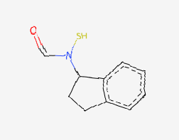 O=CN(S)C1CCc2ccccc21